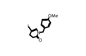 COc1ccc(CN2C=C(I)CCC2=O)cc1